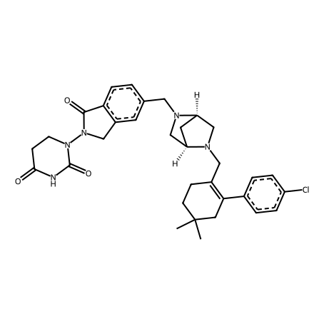 CC1(C)CCC(CN2C[C@H]3C[C@@H]2CN3Cc2ccc3c(c2)CN(N2CCC(=O)NC2=O)C3=O)=C(c2ccc(Cl)cc2)C1